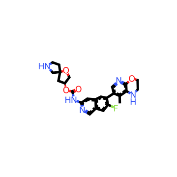 Cc1c(-c2cc3cc(NC(=O)O[C@@H]4COC5(CCNC5)C4)ncc3cc2F)cnc2c1NCCO2